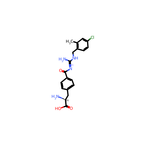 Cc1cc(Cl)ccc1CN/C(N)=N/C(=O)c1ccc(C[C@H](N)C(=O)O)cc1